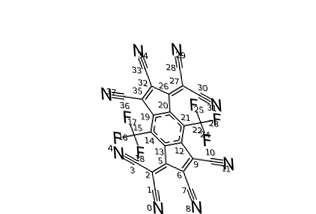 N#CC(C#N)=C1C(C#N)=C(C#N)c2c1c(C(F)(F)F)c1c(c2C(F)(F)F)C(=C(C#N)C#N)C(C#N)=C1C#N